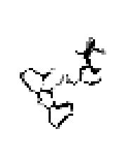 O=C1CCCc2nc3ccccc3c(NCc3cccc(C(F)(F)F)c3)c21